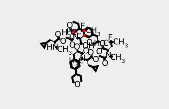 CN[C@@H](CC1CC1)C(=O)OCC(=O)N(C)[C@@H](CC(C)(C)F)C(O)O[C@H](Cc1ccc(C2CCOCC2)cc1)C(=O)N(C)[C@@H](CC1CC1)C(=O)OCC(=O)N(C)[C@@H](CC(C)(C)F)C(=O)O[C@@H](C=O)Cc1ccc(C2CCOCC2)cc1